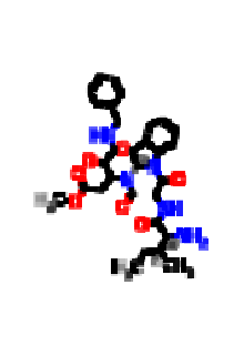 CC[C@H](C)[C@H](N)C(=O)NCC(=O)N1c2ccccc2C[C@H]1N(C=O)C(CC(=O)OC)C(=O)C(=O)NCc1ccccc1